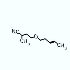 CC=CCCOCCC(C)C#N